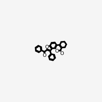 O=C(c1ccccc1)c1oc2ccc3c4c(c(=O)oc3c2c1-c1ccccc1)CCCC4